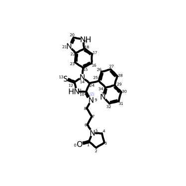 O=C1CCCN1CCC/N=C1\NC(=S)N(c2ccc3[nH]cnc3c2)C1c1cccc2cccnc12